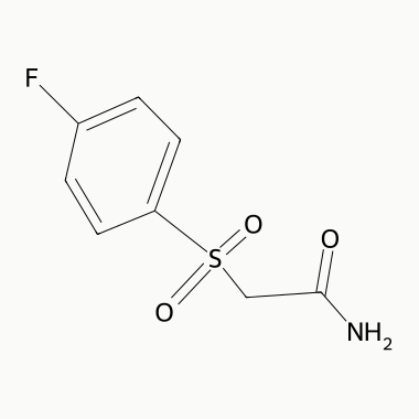 NC(=O)CS(=O)(=O)c1ccc(F)cc1